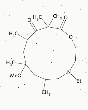 CCN1CCOC(=O)C(C)(C)C(=O)C(C)CC(C)(OC)CC(C)C1